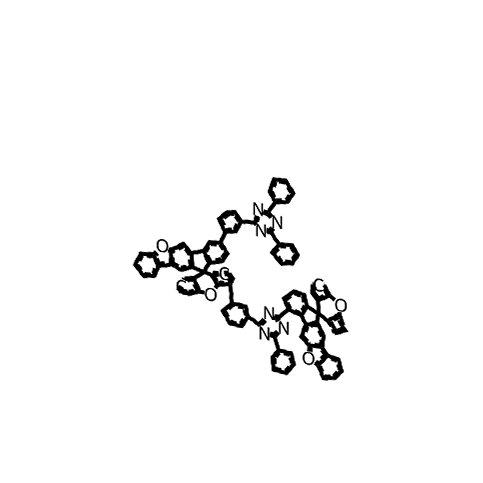 c1ccc(-c2nc(-c3ccccc3)nc(-c3cccc(-c4ccc5c(c4)-c4cc6oc7ccccc7c6cc4C54c5ccccc5Oc5c(-c6cccc(-c7nc(-c8ccccc8)nc(-c8cccc9c8-c8cc%10oc%11ccccc%11c%10cc8C98c9ccccc9Oc9ccccc98)n7)c6)cccc54)c3)n2)cc1